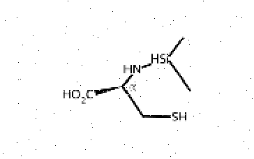 C[SiH](C)N[C@@H](CS)C(=O)O